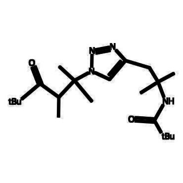 CC(C(=O)C(C)(C)C)C(C)(C)n1cc(CC(C)(C)NC(=O)C(C)(C)C)nn1